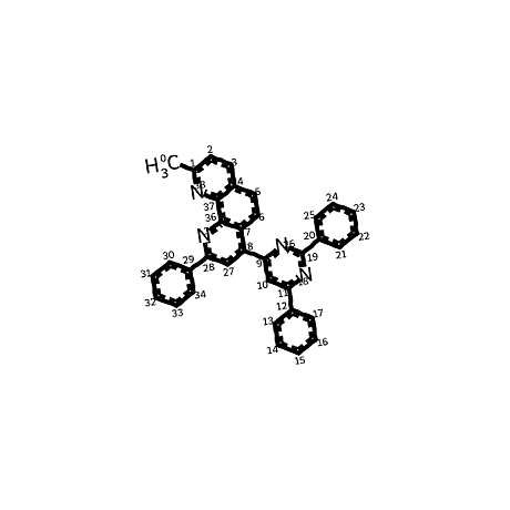 Cc1ccc2ccc3c(-c4cc(-c5ccccc5)nc(-c5ccccc5)n4)cc(-c4ccccc4)nc3c2n1